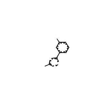 Cc1noc(-c2cccc(C(C)(C)C)c2)n1